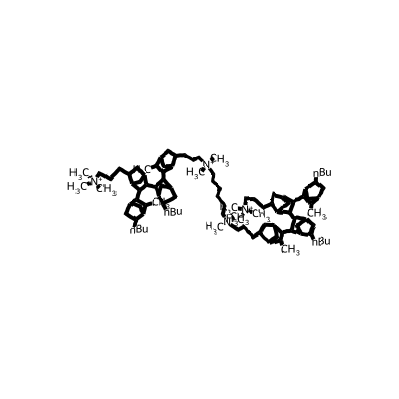 CCCCC1CC2CC1C(C)C2C1C2CC(CC2CCC[N+](C)(C)C)C1C1C2CC(CC2CCCC)C1C1C(C)C2CC(CCC[N+](C)(C)CCCCCC[N+](C)(C)CCCC3CC4CC3C(C)C4C3C4CC(CC4CCCC)C3C3C4CC(CC4CCC[N+](C)(C)C)C3C3C(C)C4CC(CCCC)C3C4)C1C2